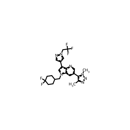 Cc1nnn(C)c1-c1cnc2c(-c3cnn(CC(F)(F)F)c3)cn(CC3CCC(F)(F)CC3)c2c1